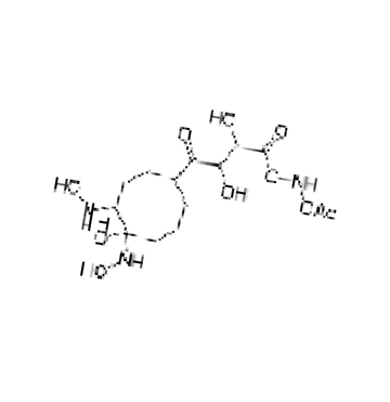 CC(=O)ONOC(=O)C(O)C(O)C(=O)C1CCCC(O)(NO)C(NO)CC1